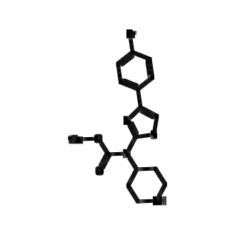 CC(C)(C)OC(=O)N(c1nc(-c2ccc(Br)cc2)cs1)C1CCNCC1